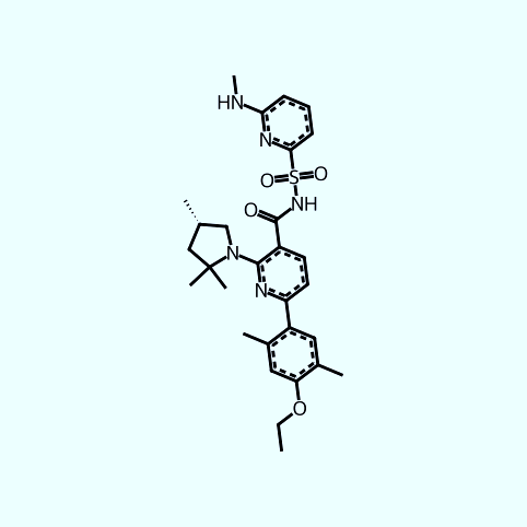 CCOc1cc(C)c(-c2ccc(C(=O)NS(=O)(=O)c3cccc(NC)n3)c(N3C[C@@H](C)CC3(C)C)n2)cc1C